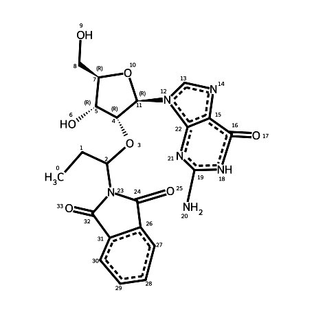 CCC(O[C@@H]1[C@H](O)[C@@H](CO)O[C@H]1n1cnc2c(=O)[nH]c(N)nc21)N1C(=O)c2ccccc2C1=O